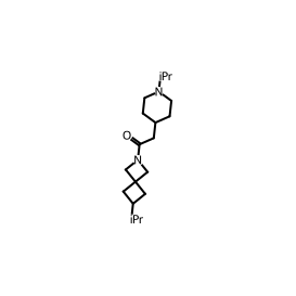 CC(C)C1CC2(C1)CN(C(=O)CC1CCN(C(C)C)CC1)C2